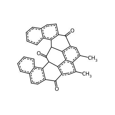 Cc1cc2c3c4c5c(cc(C)c14)C(=O)c1ccc4ccccc4c1C5C(=O)C3c1c(ccc3ccccc13)C2=O